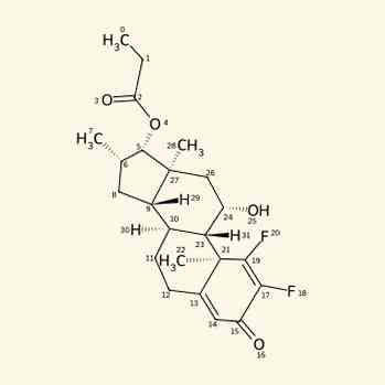 CCC(=O)O[C@H]1[C@@H](C)C[C@H]2[C@@H]3CCC4=CC(=O)C(F)=C(F)[C@]4(C)[C@H]3[C@@H](O)C[C@@]21C